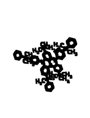 CC(C)(C)C1=CC2B3c4cc(C(C)(C)c5ccccc5)ccc4N(c4ccc(C(C)(C)c5ccccc5)cc4)c4cc(C(C)(C)C)cc(c43)N(c3ccc(C(C)(C)c4ccccc4)cc3)C2C=C1